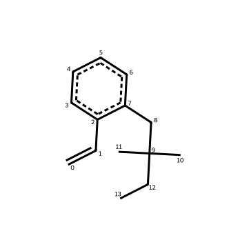 C=Cc1ccccc1CC(C)(C)CC